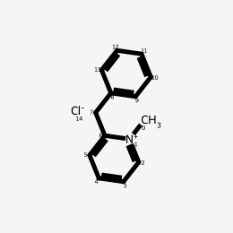 C[n+]1ccccc1Cc1ccccc1.[Cl-]